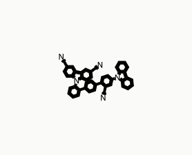 N#Cc1ccc2c(c1)c1cc(C#N)ccc1n2-c1ccccc1-c1ccc(-c2ccc(-n3c4ccccc4c4ccccc43)cc2C#N)cc1